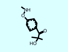 CNOc1ccc(C(=O)C(C)(C)O)cc1